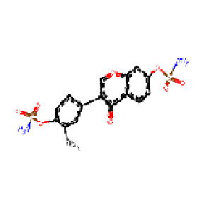 NS(=O)(=O)Oc1ccc2c(=O)c(-c3ccc(OS(N)(=O)=O)c([N+](=O)[O-])c3)coc2c1